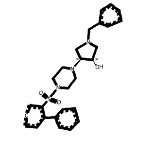 O=S(=O)(c1ccccc1-c1ccccc1)N1CCN([C@H]2CN(Cc3ccccc3)C[C@@H]2O)CC1